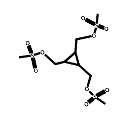 CS(=O)(=O)OCC1C(COS(C)(=O)=O)C1COS(C)(=O)=O